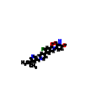 CC(C)c1cncc(CN2CCC(c3cc4c(cc3F)C(=O)N(C3CCC(=O)NC3=O)C4)CC2)c1